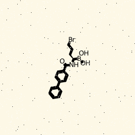 O=C(N[C@@H](CCCBr)B(O)O)c1ccc(-c2ccccc2)cc1